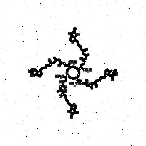 CC(CC(=O)CCCCC1SCC2NC(=O)NC21)CC(=O)CCC(C(=O)O)N1CCN(C(CCC(=O)CC(C)CC(=O)CCCCC2SCC3NC(=O)NC32)C(=O)O)CCN(C(CNC(=O)CC(C)NC(=O)CCCCC2SCC3NC(=O)NC32)C(=O)O)CCN(C(CNC(=O)CC(C)NC(=O)CCCCC2SCC3NC(=O)NC32)C(=O)O)CC1